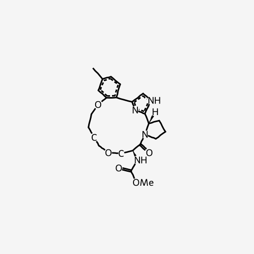 COC(=O)N[C@H]1COCCCCOc2cc(C)ccc2-c2c[nH]c(n2)[C@@H]2CCCN2C1=O